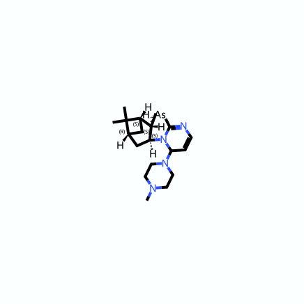 C[C@@H]1[C@@H](N2C([AsH2])=NC=CC2N2CCN(C)CC2)C[C@H]2C[C@@H]1C2(C)C